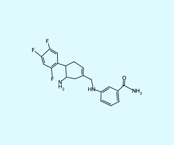 NC(=O)c1cccc(NCC2=CCC(c3cc(F)c(F)cc3F)C(N)C2)c1